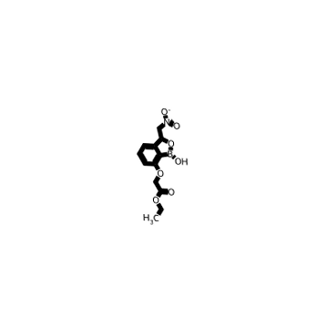 CCOC(=O)COc1cccc2c1B(O)OC2C[N+](=O)[O-]